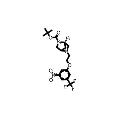 CC(C)(C)OC(=O)N1CC2C[C@H]1CN2CCOc1cc([N+](=O)[O-])cc(C(F)(F)F)c1